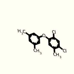 Cc1cc(C)cc(Oc2cc(C)c(Cl)cc2Cl)c1